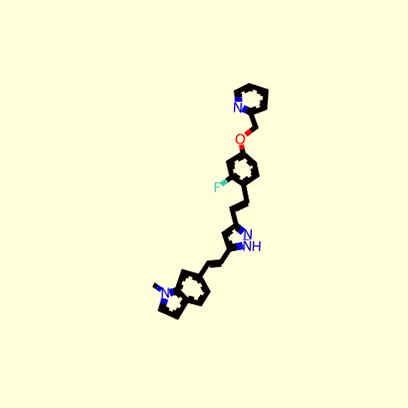 Cn1ccc2ccc(C=Cc3cc(C=Cc4ccc(OCc5ccccn5)cc4F)n[nH]3)cc21